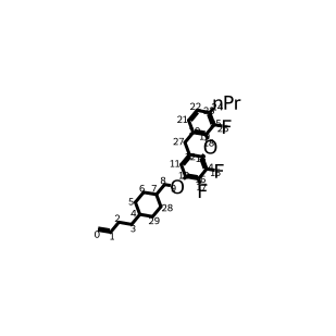 C=CCCC1CCC(COc2cc3c(c(F)c2F)Oc2c(ccc(CCC)c2F)C3)CC1